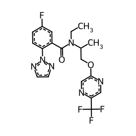 CCN(C(=O)c1cc(F)ccc1-n1nccn1)C(C)COc1cnc(C(F)(F)F)cn1